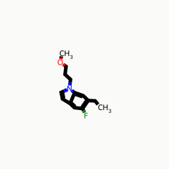 CCc1cc2c(ccn2CCCOC)cc1F